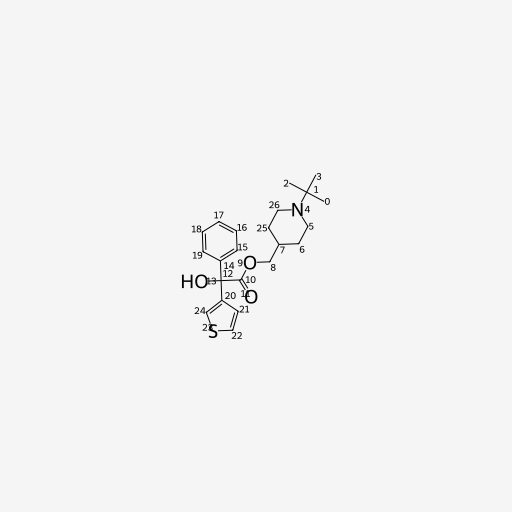 CC(C)(C)N1CCC(COC(=O)C(O)(c2ccccc2)c2ccsc2)CC1